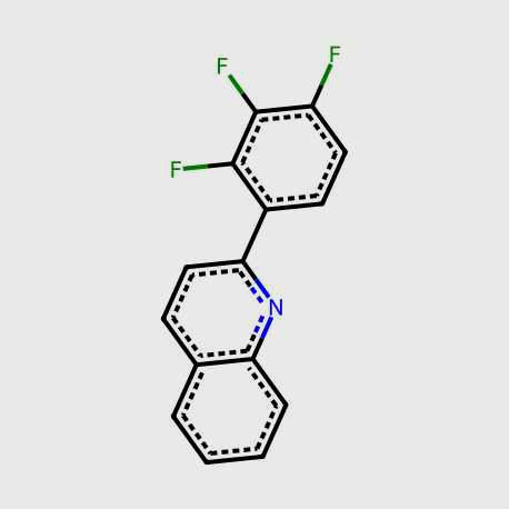 Fc1ccc(-c2ccc3ccccc3n2)c(F)c1F